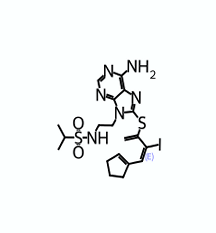 C=C(Sc1nc2c(N)ncnc2n1CCNS(=O)(=O)C(C)C)/C(I)=C\C1=CCCC1